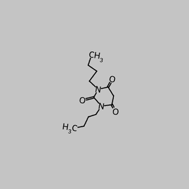 CCCCN1C(=O)CC(=O)N(CCCC)C1=O